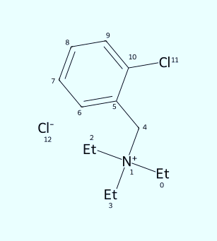 CC[N+](CC)(CC)Cc1ccccc1Cl.[Cl-]